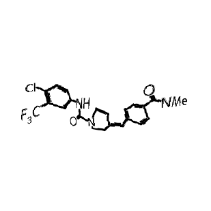 CNC(=O)c1ccc(C=C2CCN(C(=O)Nc3ccc(Cl)c(C(F)(F)F)c3)CC2)cc1